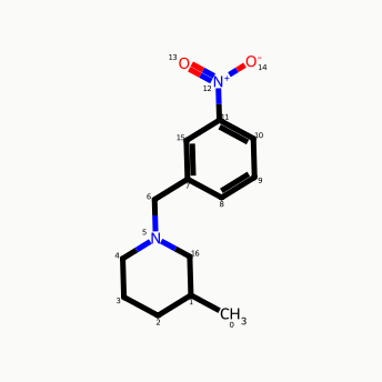 CC1CCCN(Cc2cccc([N+](=O)[O-])c2)C1